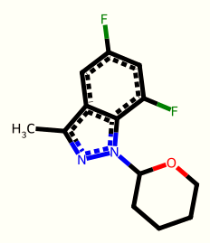 Cc1nn(C2CCCCO2)c2c(F)cc(F)cc12